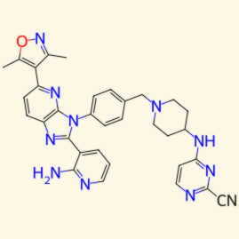 Cc1noc(C)c1-c1ccc2nc(-c3cccnc3N)n(-c3ccc(CN4CCC(Nc5ccnc(C#N)n5)CC4)cc3)c2n1